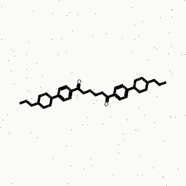 CCCC1CCC(c2ccc(C(=O)CCCCC(=O)c3ccc(C4CCC(CCC)CC4)cc3)cc2)CC1